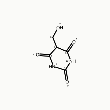 O=C1NC(=O)C(CO)C(=O)N1